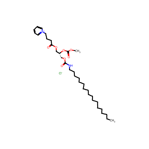 CCCCCCCCCCCCCCCCCCNC(=O)OC[C@H](COC(=O)CCC[n+]1ccccc1)OC(=O)OC.[Cl-]